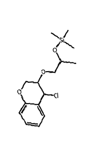 CC(COC1COc2ccccc2C1Cl)O[Si](C)(C)C